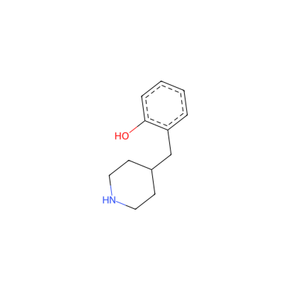 Oc1ccccc1CC1CCNCC1